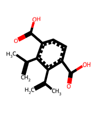 C=C(C)c1c(C(=O)O)ccc(C(=O)O)c1C(=C)C